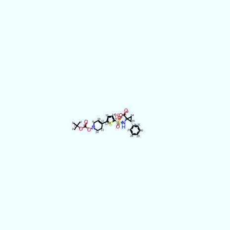 CC(C)(C)OC(=O)ON1CC=C(c2ccc(S(=O)(=O)N[C@@]3(C(=O)O)C[C@@H]3c3ccccc3)s2)CC1